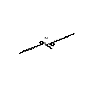 CCCCCCCCCCCCCCCc1cccc(N=CC(CCCC)=Nc2cccc(CCCCCCCCCCCCCCC)c2)c1.[Pd]